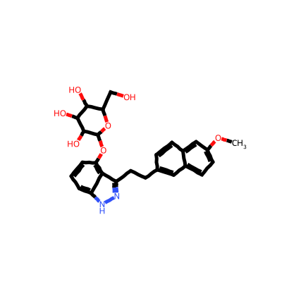 COc1ccc2cc(CCc3n[nH]c4cccc(OC5OC(CO)C(O)C(O)C5O)c34)ccc2c1